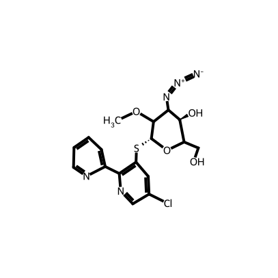 COC1C(N=[N+]=[N-])[C@@H](O)C(CO)O[C@@H]1Sc1cc(Cl)cnc1-c1ccccn1